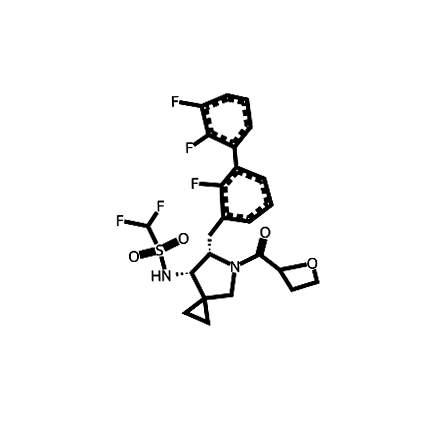 O=C(C1CCO1)N1CC2(CC2)[C@H](NS(=O)(=O)C(F)F)[C@@H]1Cc1cccc(-c2cccc(F)c2F)c1F